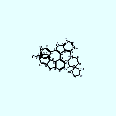 Clc1ccc(-c2oc3ncnc(N4CCC5(CC4)OCCO5)c3c2-c2cccc3c2-c2ccccc2C3)cn1